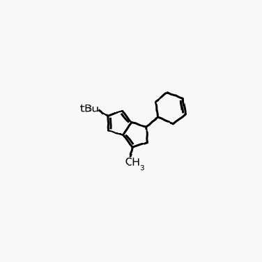 CC1=C2C=C(C(C)(C)C)C=C2C(C2CC=CCC2)C1